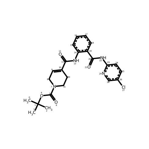 CC(C)(C)OC(=O)N1CC=C(C(=O)Nc2ccccc2C(=O)Nc2ccc(Cl)cn2)CC1